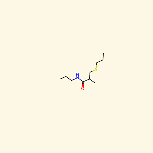 CCCNC(=O)C(C)CSCCC